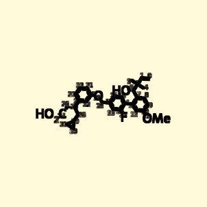 C=CC(C)(C)[C@@H](O)c1ccc(OC)cc1-c1ccc(COc2cccc([C@@H](CC(=O)O)CC3CC3)c2)cc1F